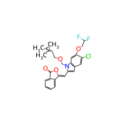 C[Si](C)(C)CCOCn1c(/C=C2\OC(=O)c3ccccc32)cc2cc(Cl)c(OCC(F)F)cc21